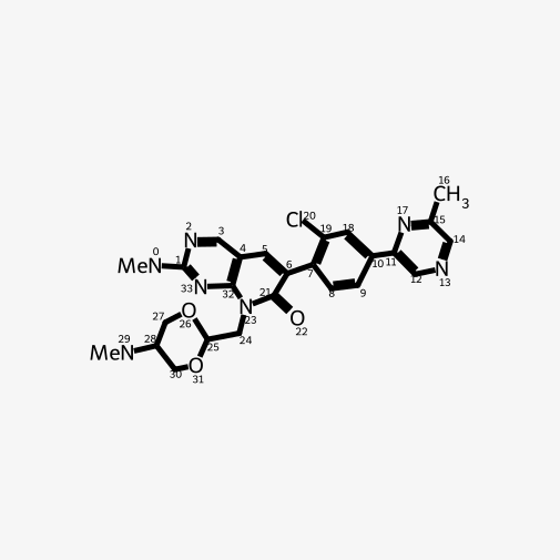 CNc1ncc2cc(-c3ccc(-c4cncc(C)n4)cc3Cl)c(=O)n(CC3OCC(NC)CO3)c2n1